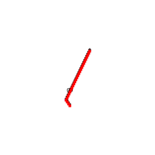 CCCCCC/C=C\CCCCCCCC(=O)OCCCCCCCCCCCCCCCCCCCCCCCCCCCCCCCCCCCCCCCC